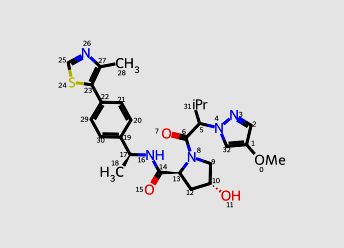 COc1cnn(C(C(=O)N2C[C@H](O)C[C@H]2C(=O)N[C@@H](C)c2ccc(-c3scnc3C)cc2)C(C)C)c1